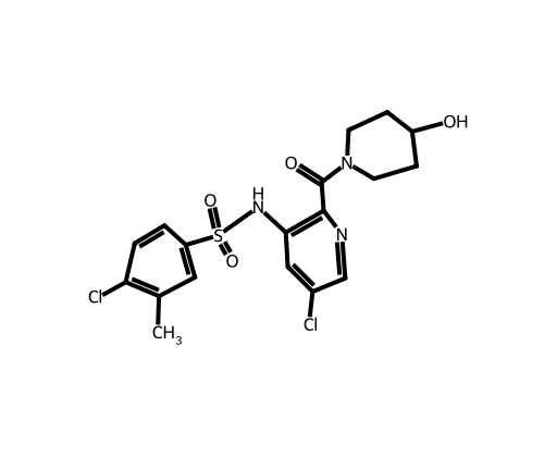 Cc1cc(S(=O)(=O)Nc2cc(Cl)cnc2C(=O)N2CCC(O)CC2)ccc1Cl